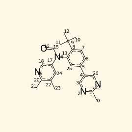 Cc1ncc(-c2ccc(C(C)(C)C)c(N(C=O)c3cnc(C)c(C)c3)c2)cn1